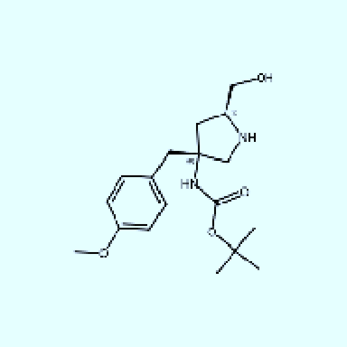 COc1ccc(C[C@]2(NC(=O)OC(C)(C)C)CN[C@H](CO)C2)cc1